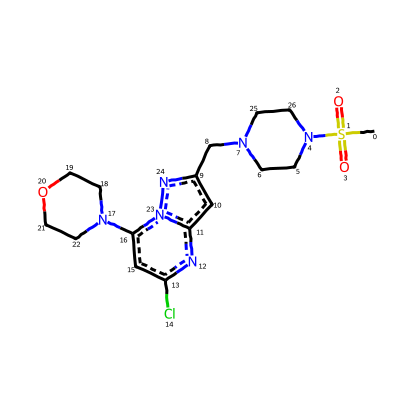 CS(=O)(=O)N1CCN(Cc2cc3nc(Cl)cc(N4CCOCC4)n3n2)CC1